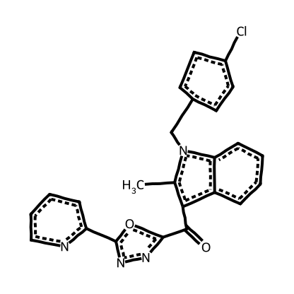 Cc1c(C(=O)c2nnc(-c3ccccn3)o2)c2ccccc2n1Cc1ccc(Cl)cc1